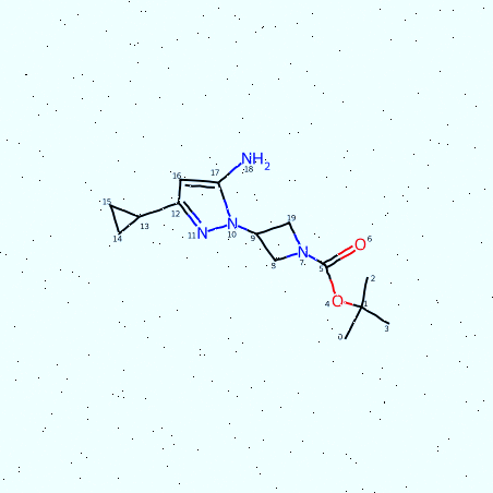 CC(C)(C)OC(=O)N1CC(n2nc(C3CC3)cc2N)C1